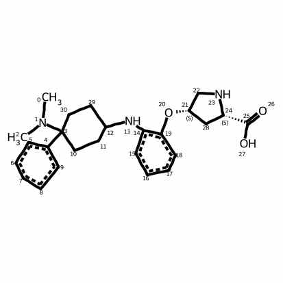 CN(C)C1(c2ccccc2)CCC(Nc2ccccc2O[C@@H]2CN[C@H](C(=O)O)C2)CC1